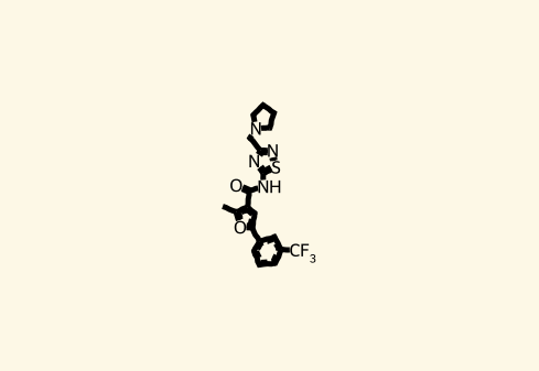 Cc1oc(-c2cccc(C(F)(F)F)c2)cc1C(=O)Nc1nc(CN2CCCC2)ns1